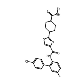 CCNC(=S)N1CCC(c2nc(C(=O)Nc3ccc(F)cc3-c3ccc(Cl)cc3)cs2)CC1